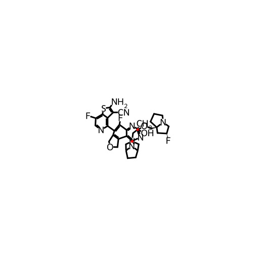 C[C@@H](O)CN1CC2CCC(C1)N2c1nc(OC[C@@]23CCCN2C[C@H](F)C3)nc2c(F)c(-c3ncc(F)c4sc(N)c(C#N)c34)c3c(c12)COC3